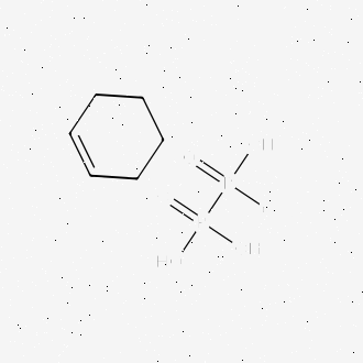 C1=CCCCC1.CP(=O)(O)P(=O)(O)O